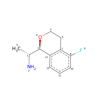 C[C@@H](N)[C@H]1OCCc2c(F)cccc21